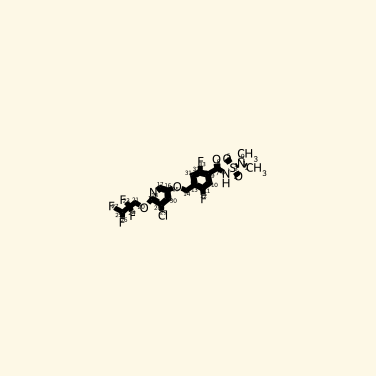 CN(C)S(=O)(=O)NC(=O)c1cc(F)c(COc2cnc(OCC(F)(F)C(F)F)c(Cl)c2)cc1F